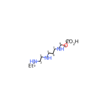 CCNCCNCCCNCOC(=O)O